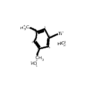 Cc1cc(C)c[c]([Ti])c1.Cl.Cl